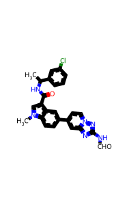 CC(NC(=O)c1cn(C)c2ccc(-c3ccn4nc(NC=O)nc4c3)cc12)c1cccc(Cl)c1